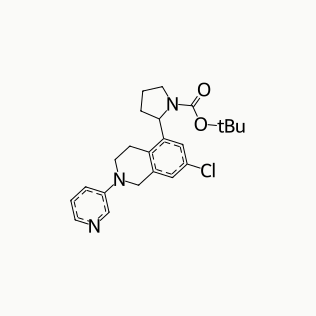 CC(C)(C)OC(=O)N1CCCC1c1cc(Cl)cc2c1CCN(c1cccnc1)C2